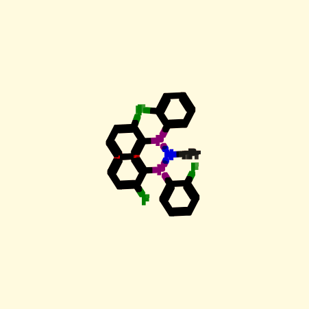 CCCN(P(c1ccccc1F)c1ccccc1F)P(c1ccccc1F)c1ccccc1F